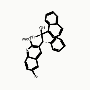 CCC[C@@](O)(c1cccc2ccccc12)[C@H](c1ccccc1)c1cc2cc(Br)ccc2nc1OC